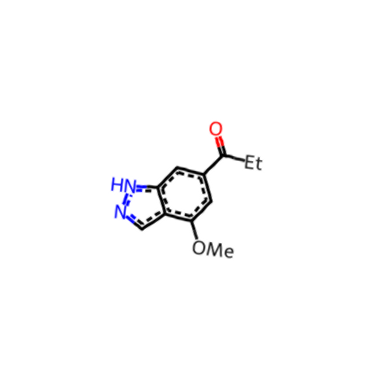 CCC(=O)c1cc(OC)c2cn[nH]c2c1